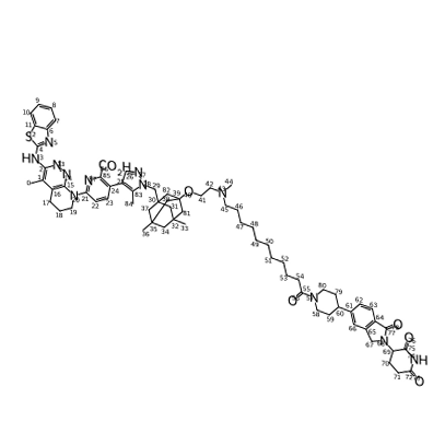 Cc1c(Nc2nc3ccccc3s2)nnc2c1CCCN2c1ccc(-c2cnn(CC34CC5(C)CC(C)(C3)CC(OCCN(C)CCCCCCCCCCC(=O)N3CCC(c6ccc7c(c6)CN(C6CCC(=O)NC6=O)C7=O)CC3)(C5)C4)c2C)c(C(=O)O)n1